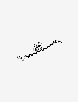 CCCCCCCCCCCCCCCCCCCCCCCCCCC(=O)O.O=C(O)C(F)(F)F